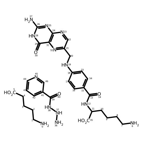 NCCCCC(=O)O.NCCCCC(NC(=O)c1ccc(NCc2cnc3nc(N)[nH]c(=O)c3n2)cc1)C(=O)O.NNNC(=O)c1cccnc1